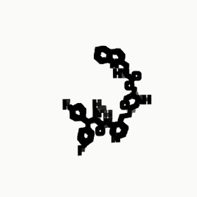 N[C@H](C(=O)Nc1cnccc1CC[C@@H]1CN[C@H](COC(=O)NCc2ccc3ccccc3n2)CO1)C(c1ccc(F)cc1)c1ccc(F)cc1